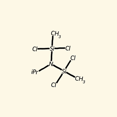 CC(C)N([Si](C)(Cl)Cl)[Si](C)(Cl)Cl